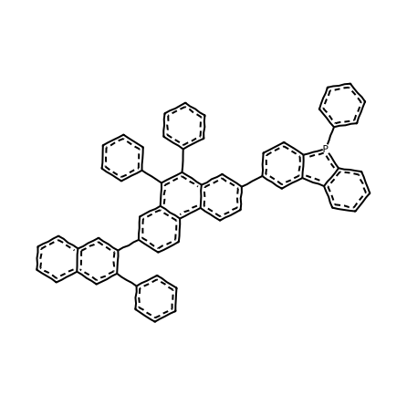 c1ccc(-c2cc3ccccc3cc2-c2ccc3c(c2)c(-c2ccccc2)c(-c2ccccc2)c2cc(-c4ccc5c(c4)c4ccccc4p5-c4ccccc4)ccc23)cc1